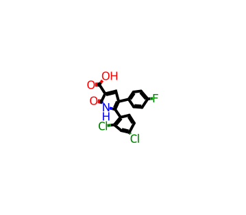 O=C(O)c1cc(-c2ccc(F)cc2)c(-c2ccc(Cl)cc2Cl)[nH]c1=O